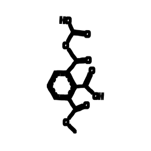 COC(=O)c1cccc(C(=O)OC(=O)O)c1C(=O)O